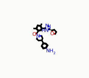 Cc1cc(C)c(-c2nnc([C@@H]3CCCO3)[nH]2)cc1C(=O)N1CCC(c2ccc(N)cc2)CC1